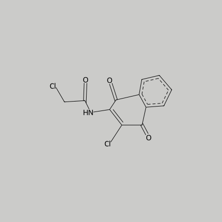 O=C(CCl)NC1=C(Cl)C(=O)c2ccccc2C1=O